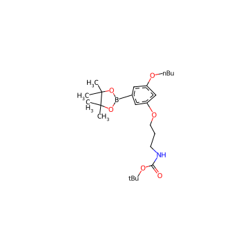 CCCCOc1cc(OCCCNC(=O)OC(C)(C)C)cc(B2OC(C)(C)C(C)(C)O2)c1